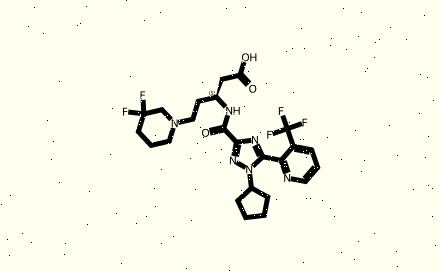 O=C(O)C[C@H](CCN1CCCC(F)(F)C1)NC(=O)c1nc(-c2ncccc2C(F)(F)F)n(C2CCCC2)n1